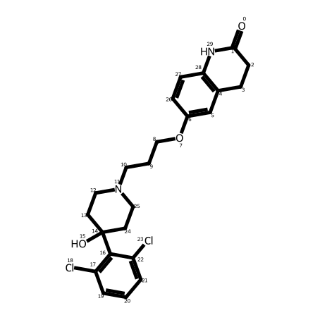 O=C1CCc2cc(OCCCN3CCC(O)(c4c(Cl)cccc4Cl)CC3)ccc2N1